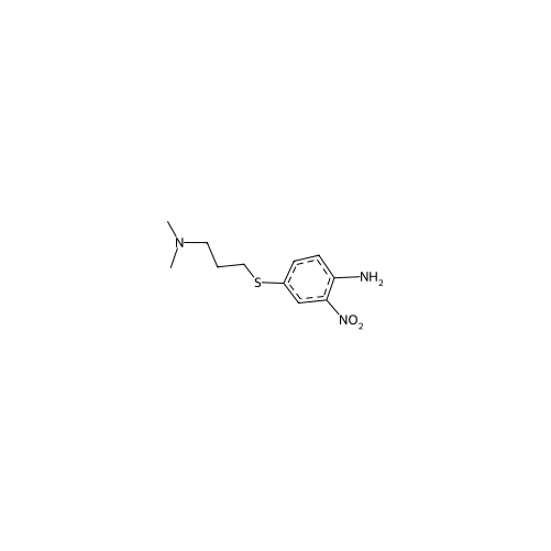 CN(C)CCCSc1ccc(N)c([N+](=O)[O-])c1